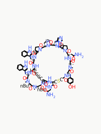 CCCC[C@H]1C(=O)N(C)[C@@H](CCCC)C(=O)N[C@H]2CCCC[C@H](NC(=O)[C@H](Cc3c[nH]c4ccccc34)NC(=O)[C@@H]3CCCN3C(=O)[C@H](CC(C)C)NC(=O)[C@H](Cc3cnc[nH]3)NC(=O)[C@@H]3CCCN3C(=O)[C@H](CC(N)=O)NC(=O)[C@H](C)N(C)C(=O)[C@H](Cc3ccc(O)cc3)NC(=O)CSC[C@@H](C(=O)NCC(N)=O)NC2=O)C(=O)N[C@@H](Cc2c[nH]c3ccccc23)C(=O)N1C